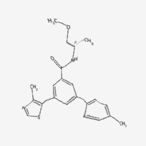 COC[C@H](C)NC(=O)c1cc(-c2ccc(C)cc2)cc(-c2scnc2C)c1